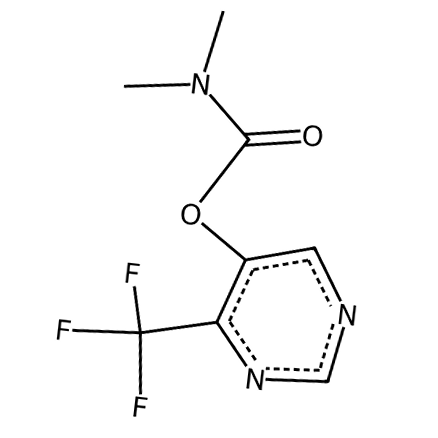 CN(C)C(=O)Oc1cncnc1C(F)(F)F